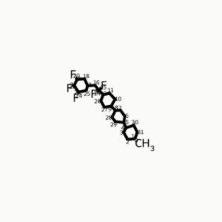 CC1CCC(C2CCC(C3CCC(C(F)(F)CC4CC(F)C(F)C(F)C4)CC3)CC2)CC1